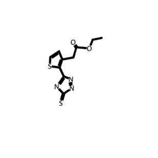 CCOC(=O)Cc1ccsc1C1=NC(=S)N=N1